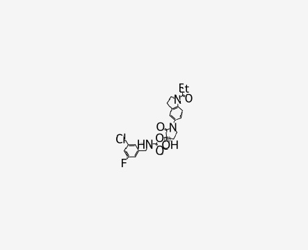 CCC(=O)N1CCc2cc(N3CC[C@](O)(OC(=O)NCc4cc(F)cc(Cl)c4)C3=O)ccc21